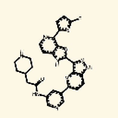 O=C(CC1CCNCC1)Nc1cncc(-c2ccc3[nH]nc(-c4nc5c(-c6ccc(F)s6)nccc5[nH]4)c3n2)c1